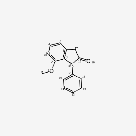 COc1nccc2c1N(c1ccccc1)C(=O)C2